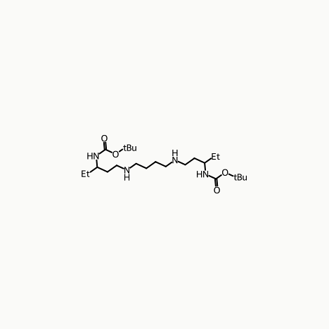 CCC(CCNCCCCNCCC(CC)NC(=O)OC(C)(C)C)NC(=O)OC(C)(C)C